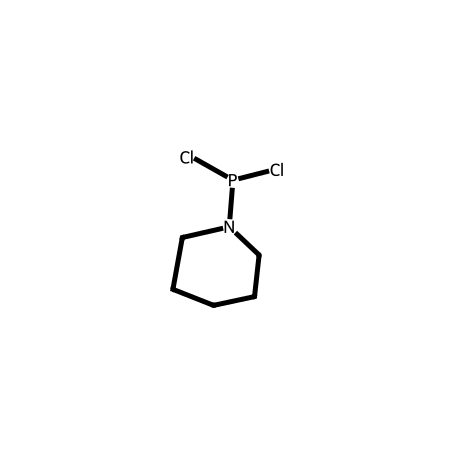 ClP(Cl)N1CCCCC1